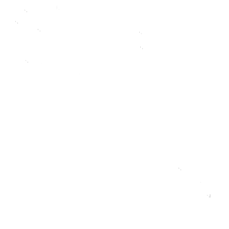 Cc1c(C#Cc2cnn(CCCC#Cc3ccc4c(c3)CN(C3CCC(=O)NC3=O)C4=O)c2)sc2c1C(c1ccc(Cl)cc1)=NCc1nnc(C)n1-2